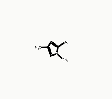 CC(=O)c1cc(C)cn1C